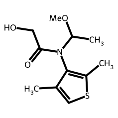 COC(C)N(C(=O)CO)c1c(C)csc1C